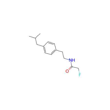 CC(C)Cc1ccc(CCNC(=O)CF)cc1